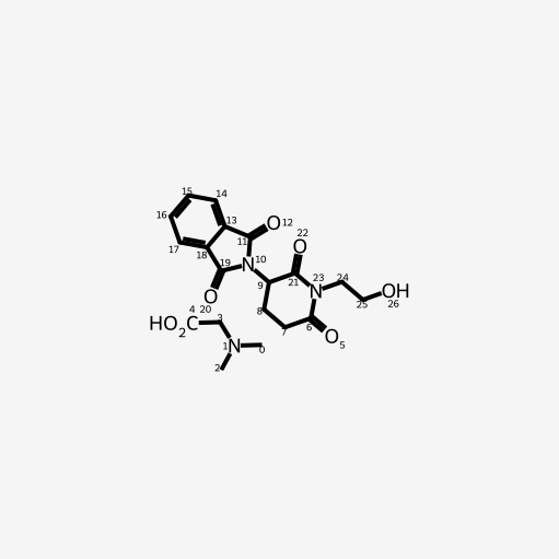 CN(C)CC(=O)O.O=C1CCC(N2C(=O)c3ccccc3C2=O)C(=O)N1CCO